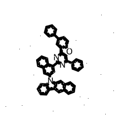 c1ccc(-c2ccc3oc4c(-c5ccccc5)nc(-c5cc(-n6c7ccccc7c7cc8ccccc8cc76)cc6ccccc56)nc4c3c2)cc1